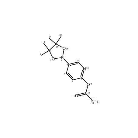 CC1(C)OB(c2ccc(OC(N)=O)nc2)OC1(C)C